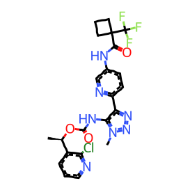 C[C@@H](OC(=O)Nc1c(-c2ccc(NC(=O)C3(C(F)(F)F)CCC3)cn2)nnn1C)c1cccnc1Cl